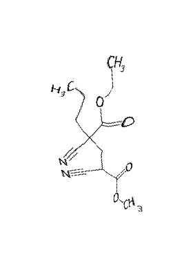 CCCC(C#N)(CC(C#N)C(=O)OC)C(=O)OCC